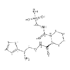 NC(CONC(=O)[C@@H]1CCCCN1C(=O)NOS(=O)(=O)O)c1cccs1